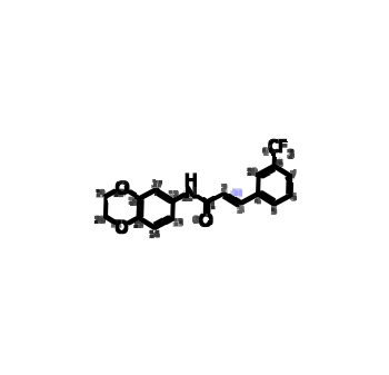 O=C(/C=C/c1cccc(C(F)(F)F)c1)Nc1ccc2c(c1)OCCO2